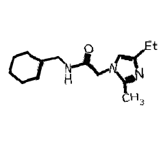 CCc1cn(CC(=O)NCC2CCCCC2)c(C)n1